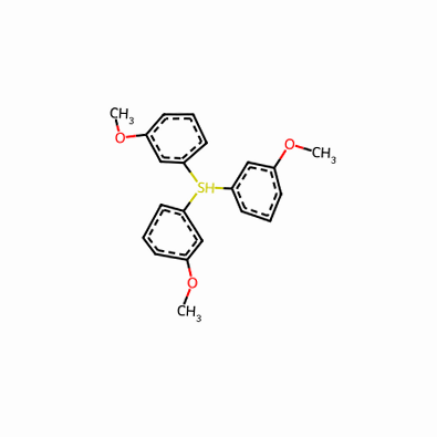 COc1cccc([SH](c2cccc(OC)c2)c2cccc(OC)c2)c1